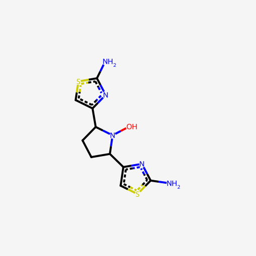 Nc1nc(C2CCC(c3csc(N)n3)N2O)cs1